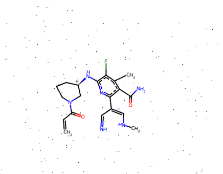 C=CC(=O)N1CCC[C@@H](Nc2nc(/C(C=N)=C/NC)c(C(N)=O)c(C)c2F)C1